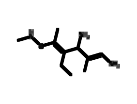 CC/C(=C(/C)ONC)C(N)/C(C)=C/N